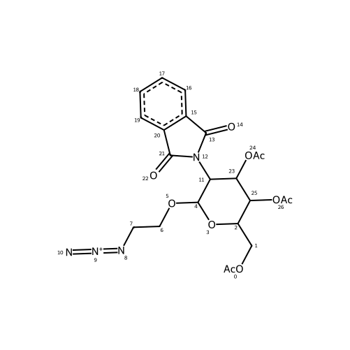 CC(=O)OCC1OC(OCCN=[N+]=[N-])C(N2C(=O)c3ccccc3C2=O)C(OC(C)=O)C1OC(C)=O